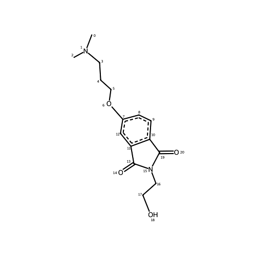 CN(C)CCCOc1ccc2c(c1)C(=O)N(CCO)C2=O